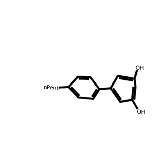 CCCCCc1ccc(-c2cc(O)cc(O)c2)cc1